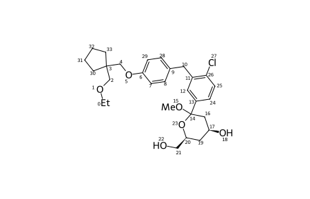 CCOCC1(COc2ccc(Cc3cc(C4(OC)C[C@@H](O)C[C@@H](CO)O4)ccc3Cl)cc2)CCCC1